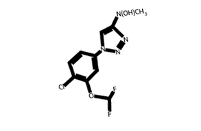 CN(O)c1cn(-c2ccc(Cl)c(OC(F)F)c2)nn1